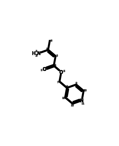 C/C(N)=C/C(=O)OCc1ccncc1